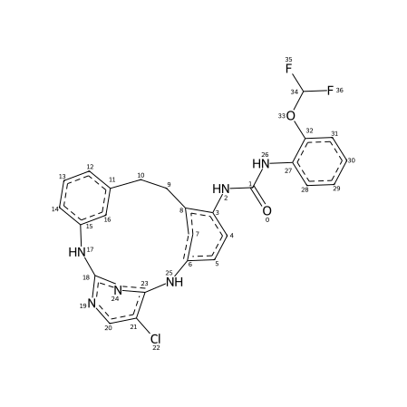 O=C(Nc1ccc2cc1CCc1cccc(c1)Nc1ncc(Cl)c(n1)N2)Nc1ccccc1OC(F)F